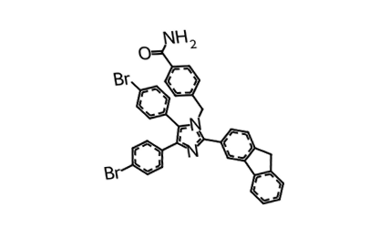 NC(=O)c1ccc(Cn2c(-c3ccc4c(c3)-c3ccccc3C4)nc(-c3ccc(Br)cc3)c2-c2ccc(Br)cc2)cc1